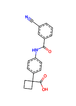 N#Cc1cccc(C(=O)Nc2ccc(C3(C(=O)O)CCC3)cc2)c1